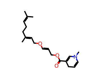 CC(C)=CCC/C(C)=C/CO/C=C/COC(=O)C1=CN(C)C=CC1